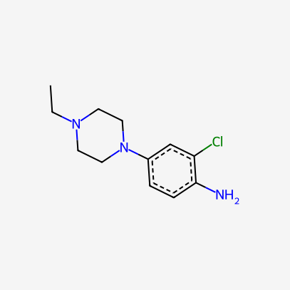 CCN1CCN(c2ccc(N)c(Cl)c2)CC1